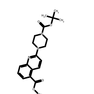 COC(=O)c1cccc2nc(N3CCN(C(=O)OC(C)(C)C)CC3)ccc12